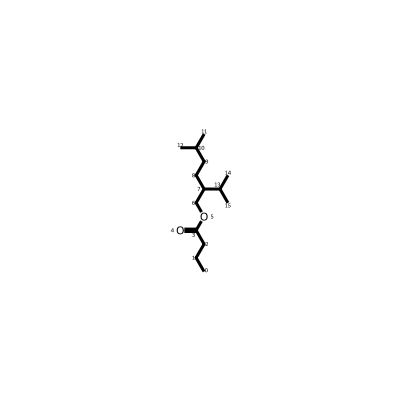 CCCC(=O)OCC(CCC(C)C)C(C)C